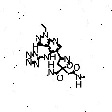 CCn1ncc2c(Nc3nnn[nH]3)c(C3=NOC(CC(=O)NC)(C(=O)NC)C3)cnc21